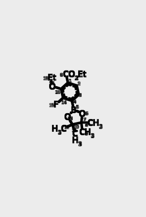 CCOC(=O)c1ccc(B2OC(C)(C)C(C)(C)O2)c(F)c1OCC